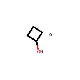 OC1CCC1.[Zr]